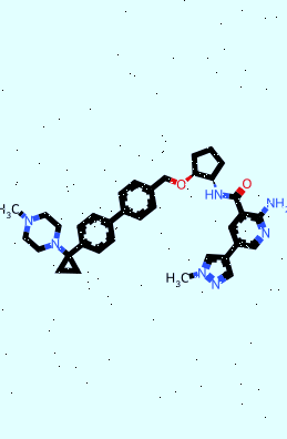 CN1CCN(C2(c3ccc(-c4ccc(CO[C@H]5CCC[C@@H]5NC(=O)c5cc(-c6cnn(C)c6)cnc5N)cc4)cc3)CC2)CC1